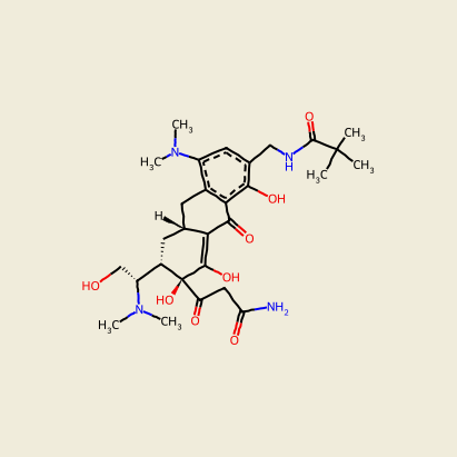 CN(C)c1cc(CNC(=O)C(C)(C)C)c(O)c2c1C[C@H]1C[C@@H]([C@@H](CO)N(C)C)[C@@](O)(C(=O)CC(N)=O)C(O)=C1C2=O